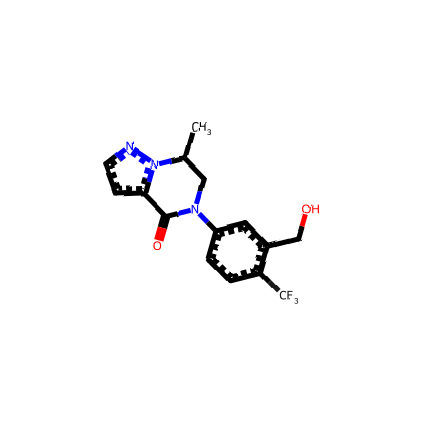 CC1CN(c2ccc(C(F)(F)F)c(CO)c2)C(=O)c2ccnn21